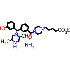 CCOC(=O)CCCCN1CCN(C(=O)c2cccc([C@H](c3cccc(O)c3)N3C[C@@H](C)NC[C@@H]3C)c2)CC1.N